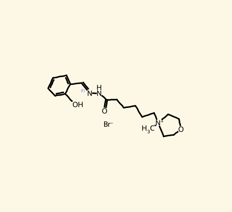 C[N+]1(CCCCCC(=O)N/N=C/c2ccccc2O)CCOCC1.[Br-]